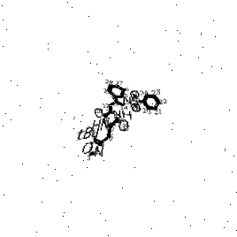 CC(C)(C)c1ocnc1/C=c1\[nH]c(=O)/c(=C/c2cn(S(=O)(=O)c3ccccc3)c3ccccc23)[nH]c1=O